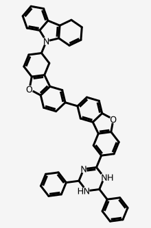 C1=Cc2c(c3ccccc3n2C2C=Cc3oc4ccc(-c5ccc6oc7ccc(C8=NC(c9ccccc9)NC(c9ccccc9)N8)cc7c6c5)cc4c3C2)CC1